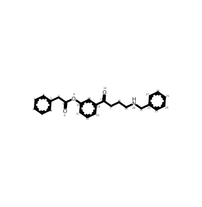 O=C(Cc1ccccc1)Oc1cccc(C(=O)CCCNCc2ccccc2)c1